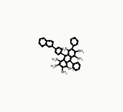 Bc1c(B)c(B)c2c(-c3ccc(-c4ccc5ccccc5c4)cc3)c3c(B)c(-c4ccccc4)c(B)c(B)c3c(-c3ccccc3)c2c1B